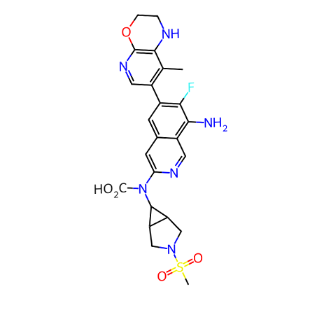 Cc1c(-c2cc3cc(N(C(=O)O)C4C5CN(S(C)(=O)=O)CC54)ncc3c(N)c2F)cnc2c1NCCO2